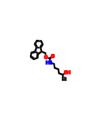 CCC(O)CCCCNC(=O)OCC1c2ccccc2-c2ccccc21